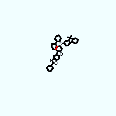 CC1(C)c2ccccc2-c2ccc(N(c3ccc4c(c3)oc3cc5oc(-c6ccccc6)nc5cc34)c3ccccc3-c3ccccc3)cc21